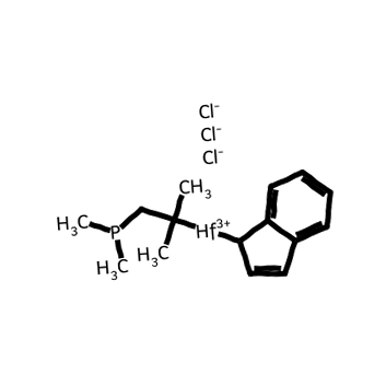 CP(C)C[C](C)(C)[Hf+3][CH]1C=Cc2ccccc21.[Cl-].[Cl-].[Cl-]